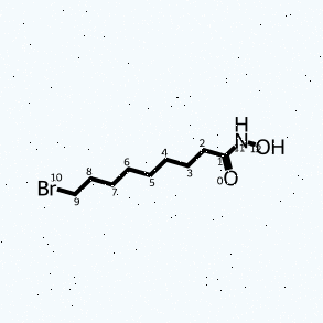 O=C(CCCCCCCCBr)NO